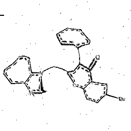 O=c1c(-c2ccccc2)c(Cn2cnc3ccccc32)oc2ccc(Br)cc12